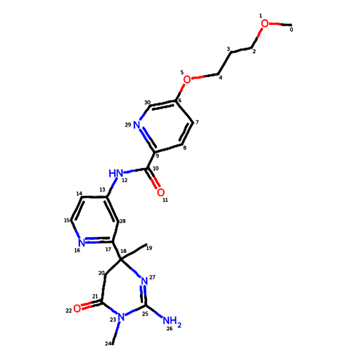 COCCCOc1ccc(C(=O)Nc2ccnc(C3(C)CC(=O)N(C)C(N)=N3)c2)nc1